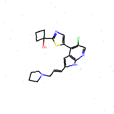 OC1(c2ncc(-c3c(Cl)cnc4[nH]c(C=CCN5CCCC5)cc34)s2)CCC1